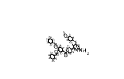 COc1ccc(Cc2cc(C3CCN(C(=O)c4ccc(OCc5ccccc5)c(OCc5ccccc5)c4)CC3)nc(N)n2)cc1